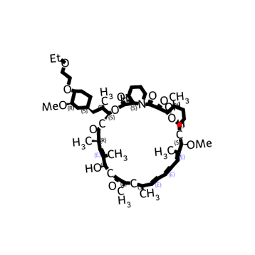 CCOCCOC1CC[C@@H](C[C@@H](C)[C@@H]2CC(=O)[C@H](C)/C=C(\C)[C@@H](O)CC(=O)[C@H](C)C[C@H](C)/C=C/C=C/C=C(\C)[C@@H](OC)C[C@@H]3CC[C@@H](C)[C@@](O)(O3)C(=O)C(=O)N3CCCC[C@H]3C(=O)O2)C[C@H]1OC